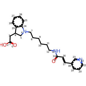 O=C(O)CC1CN(CCCCCCNC(=O)/C=C/c2cccnc2)c2ccccc21